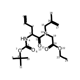 C=CCC(NC(=O)OC(C)(C)C)C(=O)N(CC(=C)C)CC(=O)OCC